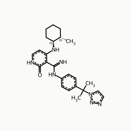 C[C@H]1CCCC[C@@H]1Nc1cc[nH]c(=O)c1C(=N)Nc1ccc(C(C)(C)n2ccnn2)cc1